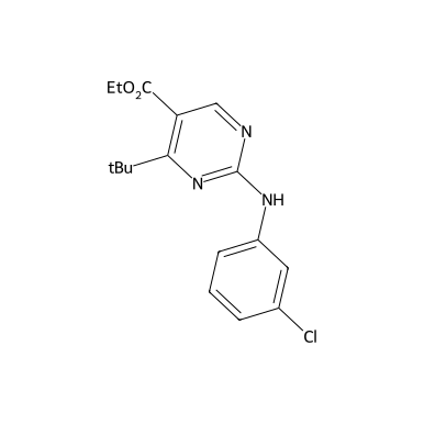 CCOC(=O)c1cnc(Nc2cccc(Cl)c2)nc1C(C)(C)C